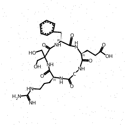 N=C(N)NCCC[C@@H]1NC(=O)CNC(=O)[C@H](CCC(=O)O)NC(=O)[C@@H](Cc2ccccc2)NC(=O)C(CO)(CO)NC1=O